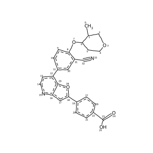 CC1COCCC1Oc1ccc(-c2ccnc3cc(-c4ccc(C(=O)O)cc4)oc23)cc1C#N